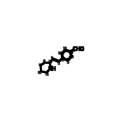 O=Cc1ccc(C=CC2CCCCN2)cc1